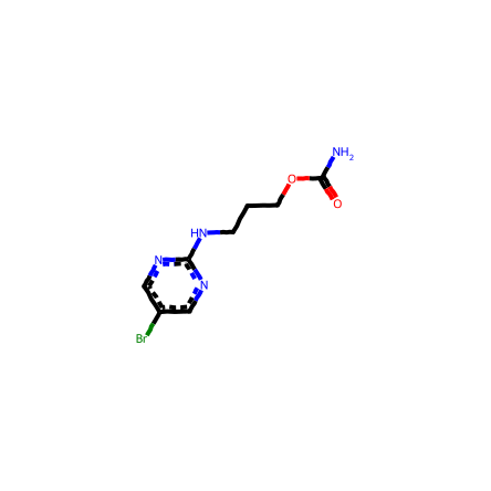 NC(=O)OCCCNc1ncc(Br)cn1